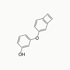 Oc1cccc(Oc2ccc3c(c2)C=C3)c1